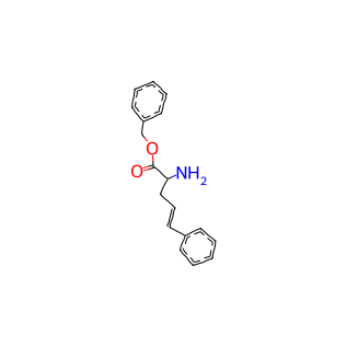 NC(CC=Cc1ccccc1)C(=O)OCc1ccccc1